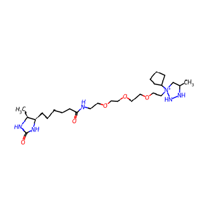 CC1C[N+](CCOCCOCCOCCNC(=O)CCCCC[C@H]2NC(=O)N[C@H]2C)(C2CCCC2)NN1